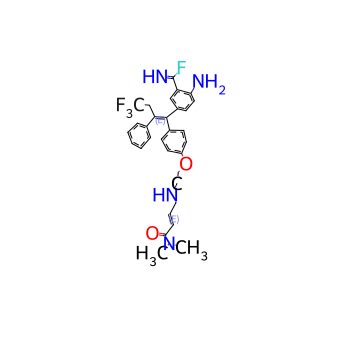 CN(C)C(=O)/C=C/CNCCOc1ccc(/C(=C(/CC(F)(F)F)c2ccccc2)c2ccc(N)c(C(=N)F)c2)cc1